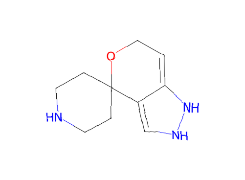 C1=C2NNC=C2C2(CCNCC2)OC1